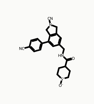 N#Cc1ccc(-c2cc(CNC(=O)C3CC[S+]([O-])CC3)cc3c2CN(C#N)C3)cc1